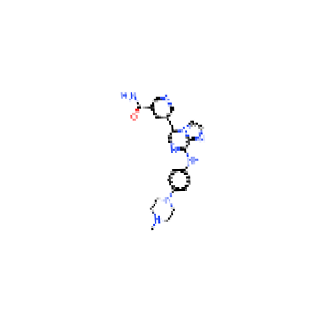 CN1CCN(c2ccc(Nc3ncc(-c4cncc(C(N)=O)c4)n4ccnc34)cc2)CC1